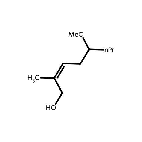 CCCC(CC=C(C)CO)OC